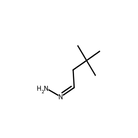 CC(C)(C)C/C=N\N